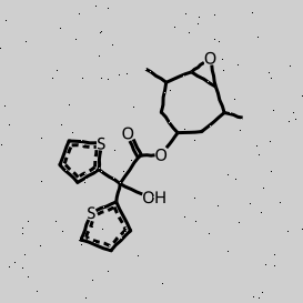 CC1CC(OC(=O)C(O)(c2cccs2)c2cccs2)CC(C)C2OC12